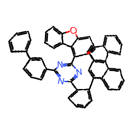 c1ccc(-c2cccc(-c3nc(-c4ccccc4-c4cc5ccc6ccccc6c5c5ccccc45)nc(-c4cccc5oc6ccccc6c45)n3)c2)cc1